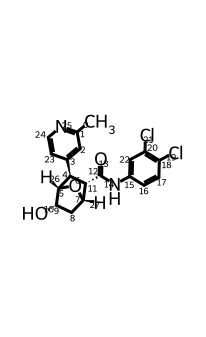 Cc1cc([C@@H]2[C@@H]3O[C@@H](C[C@@H]3O)[C@H]2C(=O)Nc2ccc(Cl)c(Cl)c2)ccn1